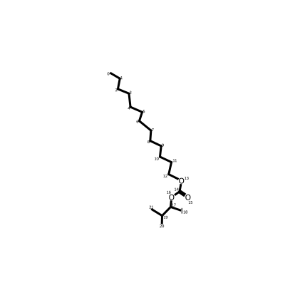 CCCCCCCCCCCCCOC(=O)OC(I)C(C)C